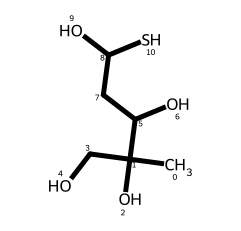 CC(O)(CO)C(O)CC(O)S